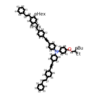 CCCCCCc1cc(C=Cc2ccc(C#Cc3ccc(N(c4ccc(C#Cc5ccc(C=Cc6ccccc6)cc5)cc4)c4ccc(OCC(CC)CCCC)cc4)cc3)cc2)c(CCCCCC)cc1C=Cc1ccccc1